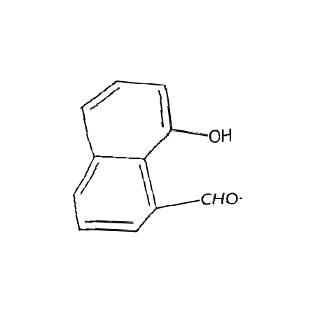 O=[C]c1cccc2cccc(O)c12